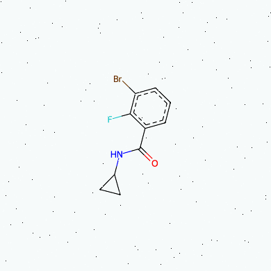 O=C(NC1CC1)c1cccc(Br)c1F